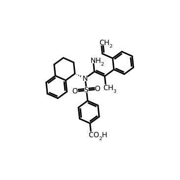 C=Cc1ccccc1/C(C)=C(\N)N([C@H]1CCCc2ccccc21)S(=O)(=O)c1ccc(C(=O)O)cc1